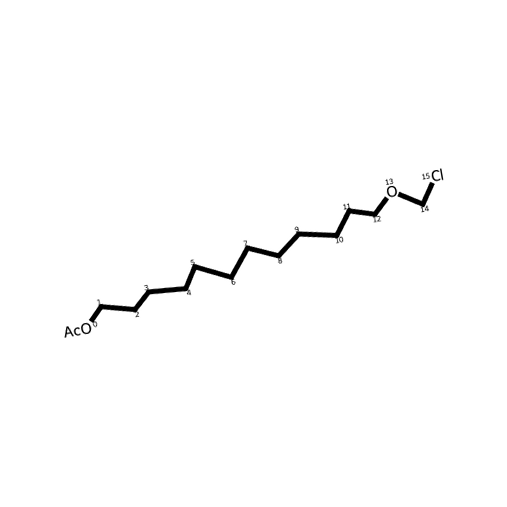 CC(=O)OCCCCCCCCCCCCOCCl